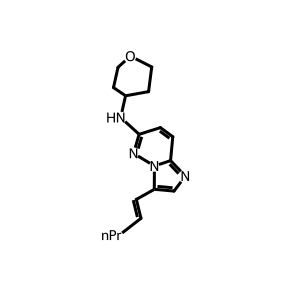 CCCC=Cc1cnc2ccc(NC3CCOCC3)nn12